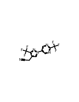 N#CCc1cn(-c2cnc(C(F)(F)F)nc2)nc1C(F)(F)F